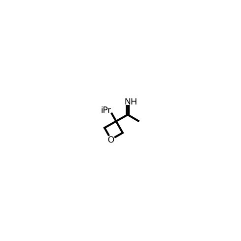 CC(=N)C1(C(C)C)COC1